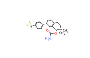 CC1(C)CCc2ccc(-c3ccc(C(F)(F)F)cc3)cc2C1OC(N)=O